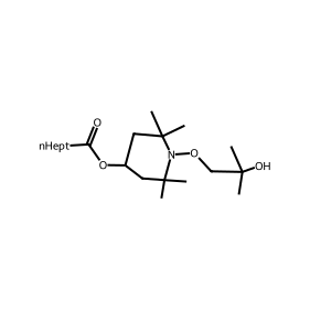 CCCCCCCC(=O)OC1CC(C)(C)N(OCC(C)(C)O)C(C)(C)C1